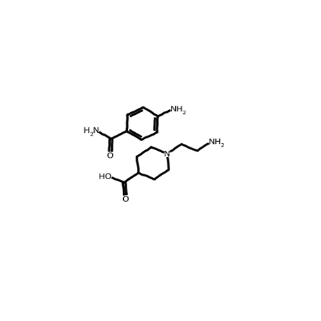 NC(=O)c1ccc(N)cc1.NCCN1CCC(C(=O)O)CC1